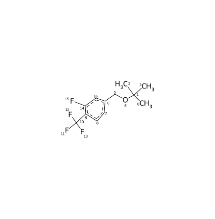 CC(C)(C)OCc1ccc(C(F)(F)F)c(F)c1